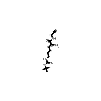 CC(C)(C)OC(=O)NCCCCC(N)C(=O)NCC#N